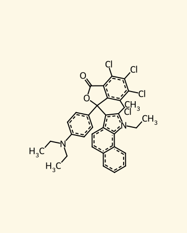 CCN(CC)c1ccc(C2(c3c(C)n(CC)c4c3ccc3ccccc34)OC(=O)c3c(Cl)c(Cl)c(Cl)c(Cl)c32)cc1